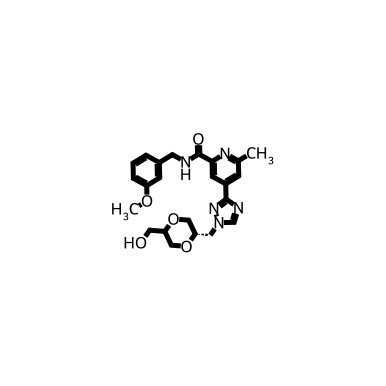 COc1cccc(CNC(=O)c2cc(-c3ncn(C[C@H]4COC(CO)CO4)n3)cc(C)n2)c1